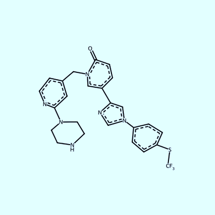 O=c1ccc(-c2cn(-c3ccc(SC(F)(F)F)cc3)cn2)cn1Cc1ccnc(N2CCNCC2)c1